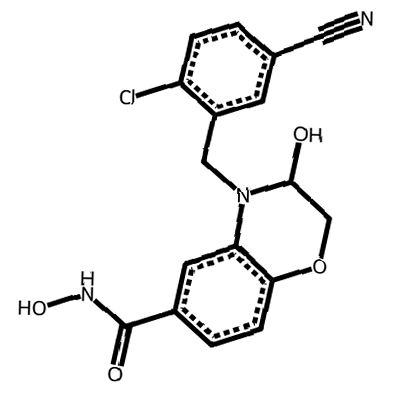 N#Cc1ccc(Cl)c(CN2c3cc(C(=O)NO)ccc3OCC2O)c1